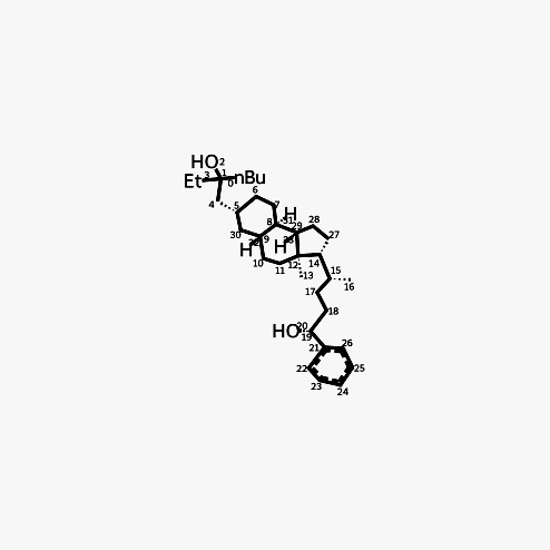 CCCCC(O)(CC)C[C@@H]1CC[C@@H]2[C@H](CC[C@]3(C)[C@@H]([C@H](C)CC[C@@H](O)c4ccccc4)CC[C@@H]23)C1